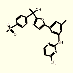 Cc1cc(Nc2nccc(C(F)(F)F)n2)cc(-c2cnc(C(C)(O)c3ccc(S(C)(=O)=O)cc3)s2)c1